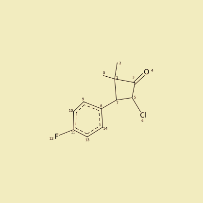 CC1(C)C(=O)C(Cl)C1c1ccc(F)cc1